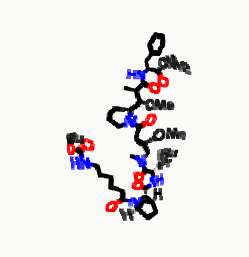 CC[C@H](C)[C@@H]([C@@H](CC(=O)N1CCC[C@H]1[C@H](OC)[C@@H](C)C(=O)N[C@@H](Cc1ccccc1)C(=O)OC)OC)N(C)C(=O)[C@@H](NC(=O)[C@@H]1[C@H]2CC[C@H](C2)N1C(=O)CCCCCNC(=O)OC(C)(C)C)C(C)C